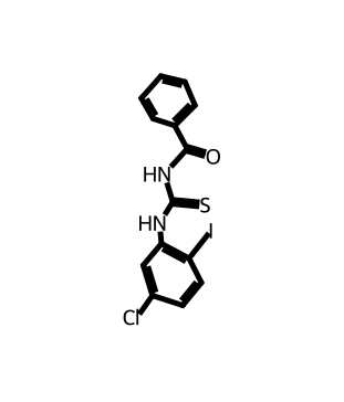 O=C(NC(=S)Nc1cc(Cl)ccc1I)c1ccccc1